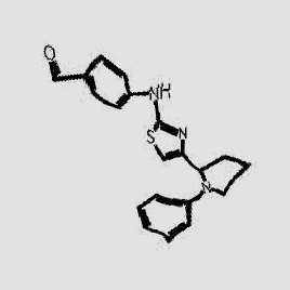 O=Cc1ccc(Nc2nc(C3CCCN3c3ccccc3)cs2)cc1